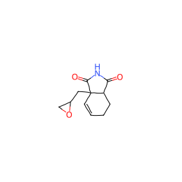 O=C1NC(=O)C2(CC3CO3)C=CCCC12